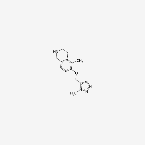 Cc1c(OCc2cnnn2C)ccc2c1CCNC2